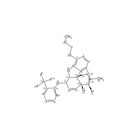 COCOc1ccc2c3c1OC1C(Oc4ncccc4C(F)(F)F)C=C[C@H]4[C@@H](C2)N(C)CC[C@]314